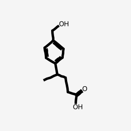 CC(CCC(=O)O)c1ccc(CO)cc1